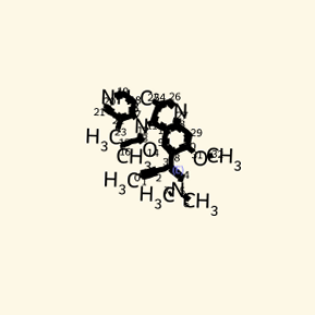 CC#C/C(=C\N(C)C)c1cc2c(N(C(=O)CC)c3ccncc3C)c(C)cnc2cc1OC